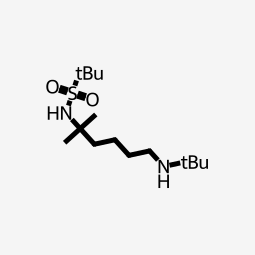 CC(C)(C)NCCCCC(C)(C)NS(=O)(=O)C(C)(C)C